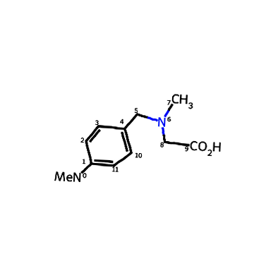 CNc1ccc(CN(C)CC(=O)O)cc1